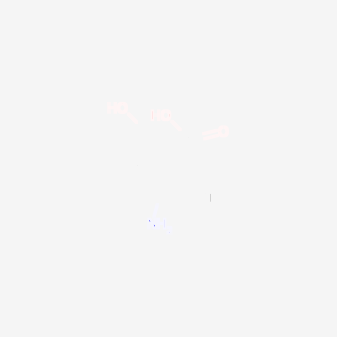 CCC(=O)O.NCCCO